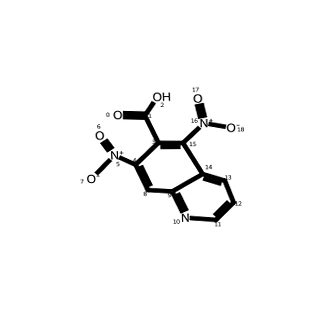 O=C(O)c1c([N+](=O)[O-])cc2ncccc2c1[N+](=O)[O-]